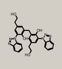 OCCc1cc(Cc2cc(CCO)cc(-n3nnc4ccccc43)c2O)c(O)c(-n2nnc3ccccc32)c1